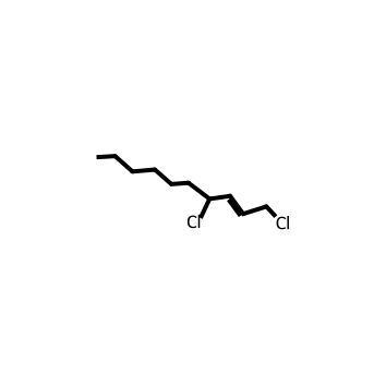 CCCCCCC(Cl)/C=C/CCl